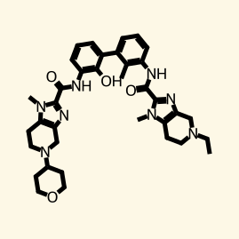 CCN1CCc2c(nc(C(=O)Nc3cccc(-c4cccc(NC(=O)c5nc6c(n5C)CCN(C5CCOCC5)C6)c4O)c3C)n2C)C1